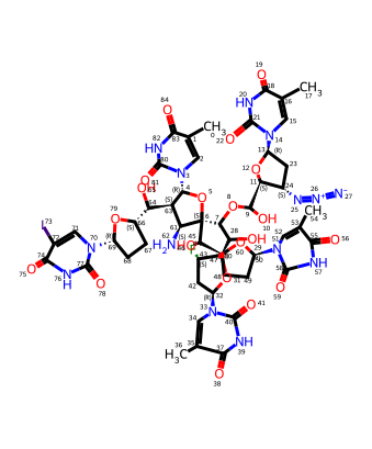 Cc1cn([C@@H]2O[C@@]([C](OC(O)[C@H]3O[C@@H](n4cc(C)c(=O)[nH]c4=O)C[C@@H]3N=[N+]=[N-])C(O)[C@H]3O[C@@H](n4cc(C)c(=O)[nH]c4=O)C[C@@H]3F)(C(O)[C@@H]3CC[C@H](n4cc(C)c(=O)[nH]c4=O)O3)[C@@H](N)[C@H]2C(O)[C@@H]2CC[C@H](n3cc(I)c(=O)[nH]c3=O)O2)c(=O)[nH]c1=O